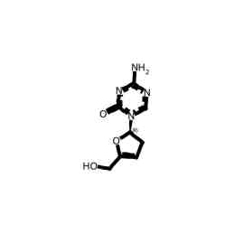 Nc1ncn([C@H]2CC=C(CO)O2)c(=O)n1